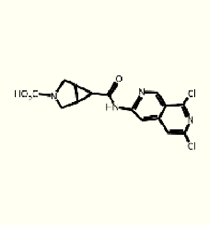 O=C(Nc1cc2cc(Cl)nc(Cl)c2cn1)C1C2CN(C(=O)O)CC21